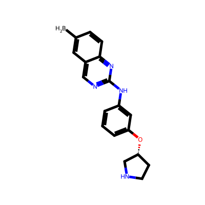 Bc1ccc2nc(Nc3cccc(O[C@@H]4CCNC4)c3)ncc2c1